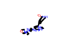 C=C/C(=N\C=C(/C)Nc1ccc(-c2cc[nH]c(=O)c2)n2ccnc12)N1CCOCC1